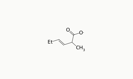 CC/C=C/C(C)C([O])=O